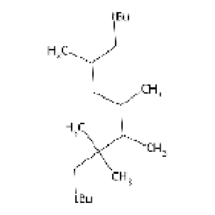 CC(CC(C)C(C)C(C)(C)CC(C)(C)C)CC(C)(C)C